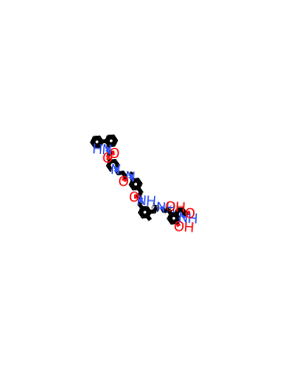 Cc1ccc(CNC(=O)Cc2ccc(N(C)C(=O)CCN3CCC(OC(=O)Nc4ccccc4-c4ccccc4)CC3)cc2)cc1C[C@H](C)NC[C@H](O)c1ccc(O)c2[nH]c(=O)ccc12